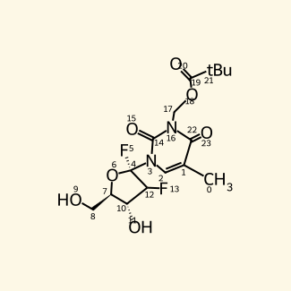 Cc1cn([C@]2(F)O[C@H](CO)[C@@H](O)C2F)c(=O)n(COC(=O)C(C)(C)C)c1=O